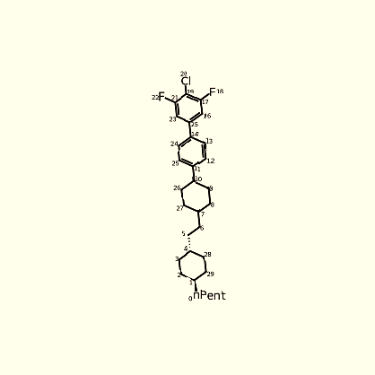 CCCCC[C@H]1CC[C@H](CCC2CCC(c3ccc(-c4cc(F)c(Cl)c(F)c4)cc3)CC2)CC1